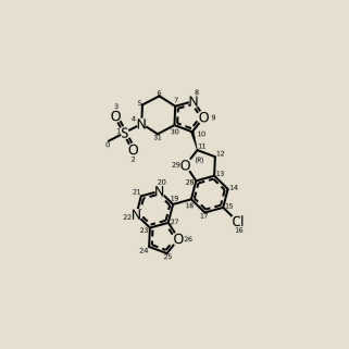 CS(=O)(=O)N1CCc2noc([C@H]3Cc4cc(Cl)cc(-c5ncnc6ccoc56)c4O3)c2C1